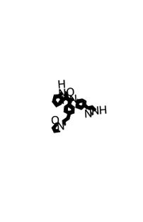 O=C1Nc2ccccc2/C1=C(/Nc1ccc(-c2c[nH]cn2)cc1)c1ccc(CCCN2CCCC2=O)cc1